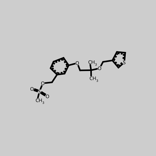 CC(C)(COc1cccc(COS(C)(=O)=O)c1)OCc1ccsc1